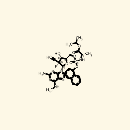 C#C[C@@]1(F)[C@H](O)[C@@H](CO[P@](=O)(N[C@@H](C)C(=O)OC(C)C)Oc2cccc3ccccc23)O[C@H]1n1cnc2c(NC)nc(N)nc21